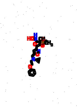 CC(CCc1cc(CN(CCOc2ccccc2)C2CC2)on1)(C(=O)NO)S(C)(=O)=O